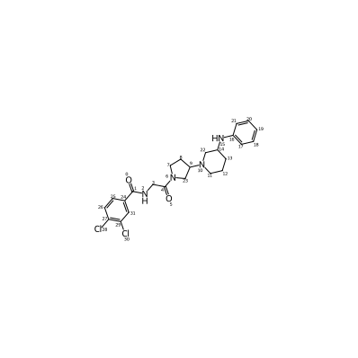 O=C(NCC(=O)N1CCC(N2CCCC(Nc3ccccc3)C2)C1)c1ccc(Cl)c(Cl)c1